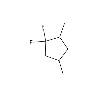 CC1CC(C)C(F)(F)C1